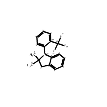 CC1(C)Cc2ccccc2N1c1ccccc1C(F)(F)F